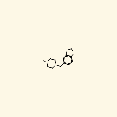 C[CH]N1CCN(Cc2ccc3c(c2)OCO3)CC1